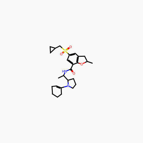 CC1Cc2cc(S(=O)(=O)CC3CC3)cc(C(=O)NC(C)C3CCCN3C3=CCCCC3)c2O1